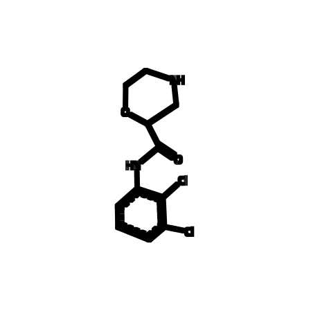 O=C(Nc1cccc(Cl)c1Cl)C1CNCCO1